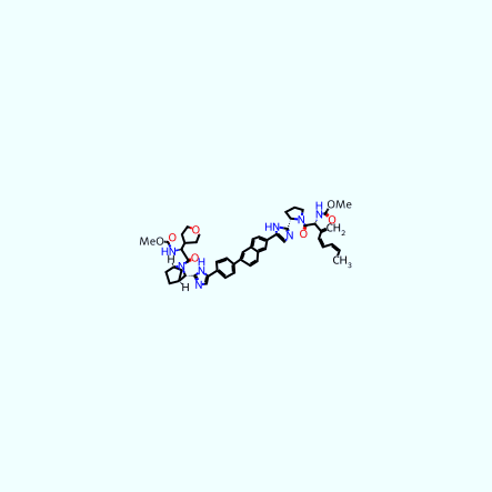 C=C(/C=C\C=C/C)[C@@H](NC(=O)OC)C(=O)N1CCC[C@H]1c1ncc(-c2ccc3cc(-c4ccc(-c5cnc([C@@H]6[C@H]7CC[C@H](C7)N6C(=O)[C@@H](NC(=O)OC)C6CCOCC6)[nH]5)cc4)ccc3c2)[nH]1